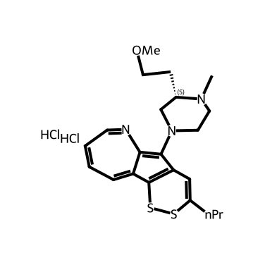 CCCC1=Cc2c(c3ccccnc-3c2N2CCN(C)[C@@H](CCOC)C2)SS1.Cl.Cl